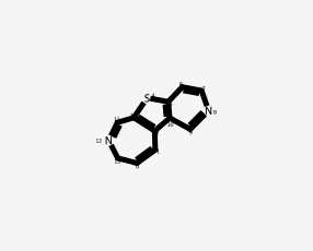 C1=Cc2c(sc3ccncc23)C=NC1